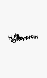 Nc1ncnc2c1c(-c1ccc(Oc3ccccc3)cc1)nn2C1CCN(C2CC3CN(C4CC5CNCC5C4)CC3C2)CC1